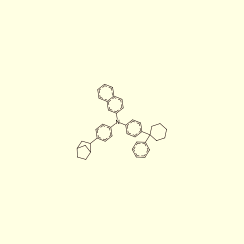 c1ccc(C2(c3ccc(N(c4ccc(C5CC6CCC5C6)cc4)c4ccc5ccccc5c4)cc3)CCCCC2)cc1